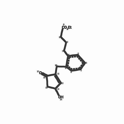 CCOC(=O)CCCc1ccccc1CC1=CC(O)CC1=O